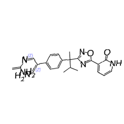 C=C(N)/N=C\C(=C/N)c1ccc(C(C)(c2noc(-c3ccc[nH]c3=O)n2)C(C)C)cc1